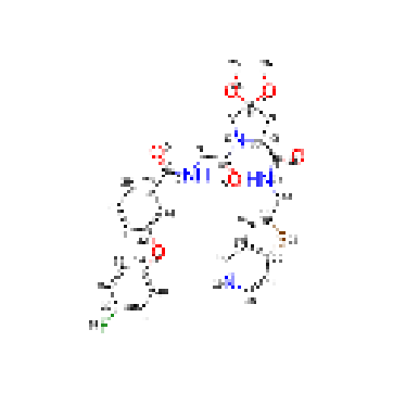 O=C(NCC(=O)N1CC2(C[C@H]1C(=O)NCc1cc3cnccc3s1)OCCO2)c1cccc(Oc2ccc(F)cc2)c1